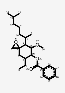 CCC1CC2(CO2)C(C(C)CCCC(C)C)C(OC)C1OC(=O)c1ccccc1